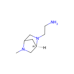 CN1C[C@H]2CC1CN2CCN